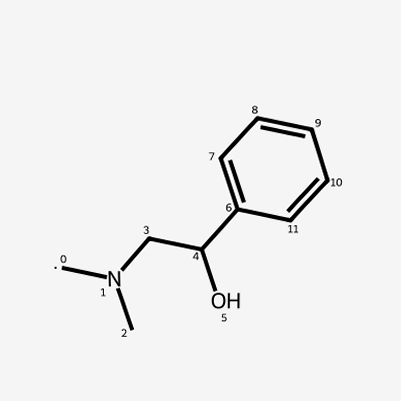 [CH2]N(C)CC(O)c1ccccc1